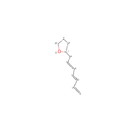 C=C/C=C/C=C/CC1CCCO1